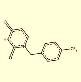 O=c1ccn(Cc2ccc(C(F)(F)F)cc2)c(=O)[nH]1